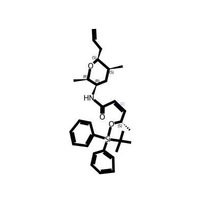 C=CC[C@@H]1O[C@H](C)[C@H](NC(=O)/C=C\[C@H](C)O[Si](c2ccccc2)(c2ccccc2)C(C)(C)C)C[C@@H]1C